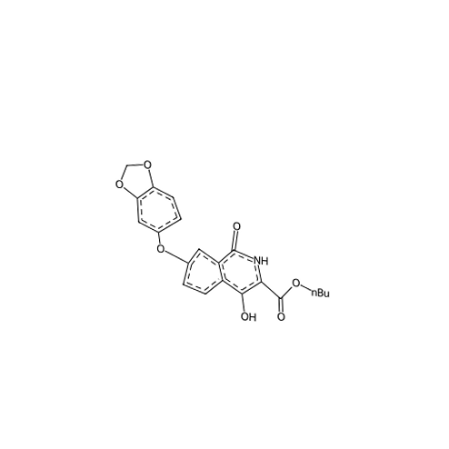 CCCCOC(=O)c1[nH]c(=O)c2cc(Oc3ccc4c(c3)OCO4)ccc2c1O